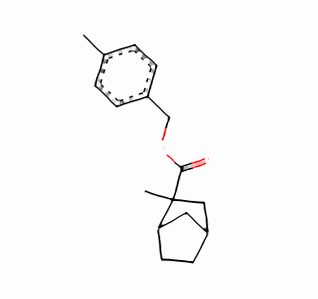 Cc1ccc(COC(=O)C2(C)CC3CCC2C3)cc1